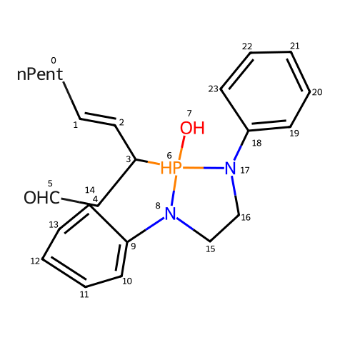 CCCCC/C=C/C(CC=O)[PH]1(O)N(c2ccccc2)CCN1c1ccccc1